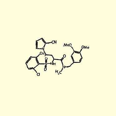 COc1ccc(CN(C)C(=O)C(CCn2cccc2C#N)NS(=O)(=O)c2c(C)cccc2Cl)cc1OC